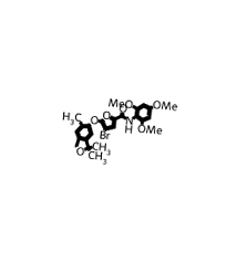 COc1cc(OC)c(NC(=O)c2cc(Br)c(Oc3cc4c(cc3C)COC4(C)C)o2)c(OC)c1